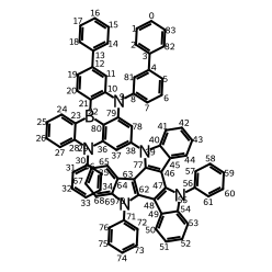 c1ccc(-c2cccc(N3c4cc(-c5ccccc5)ccc4B4c5ccccc5N(c5ccccc5)c5cc(-n6c7ccccc7c7c8c(c9ccccc9n8-c8ccccc8)c8c(c9ccccc9n8-c8ccccc8)c76)cc3c54)c2)cc1